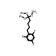 CC(C)OC(CCCCc1c(F)cc(F)cc1F)(O[SiH3])OC(C)C